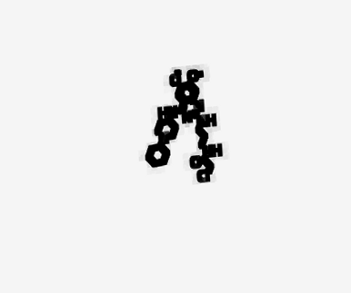 COc1cc2nc(NCCCNC(=O)CCl)nc(NC3CCN(C4CCCCC4)CC3)c2cc1OC